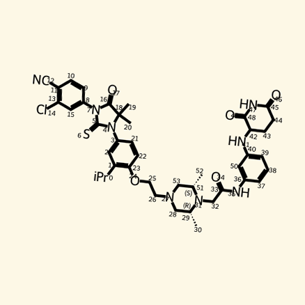 CC(C)c1cc(N2C(=S)N(c3ccc(C#N)c(Cl)c3)C(=O)C2(C)C)ccc1OCCN1C[C@@H](C)N(CC(=O)Nc2cccc(NC3CCC(=O)NC3=O)c2)[C@@H](C)C1